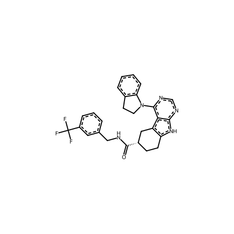 O=C(NCc1cccc(C(F)(F)F)c1)[C@H]1CCc2[nH]c3ncnc(N4CCc5ccccc54)c3c2C1